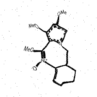 COC1=[N+]([O-])C2=CCCCC2Cn2cc(OC)c(OC)c21